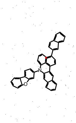 c1ccc(N(c2ccc3c(c2)oc2ccccc23)c2cc3ccccc3cc2-c2ccc(-c3ccc4ccccc4c3)cc2)cc1